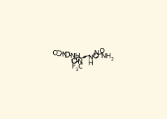 NC(=O)c1ccc(NCC#Cc2cc3c(NC4CCN(C5CCOCC5)CC4)cccc3n2CC(F)(F)F)cn1